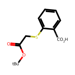 CC(C)(C)OC(=O)CSc1ccccc1C(=O)O